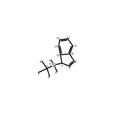 CC(C)(C)[Si](C)(C)C1[C]=Cc2ccccc21